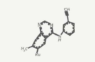 C#Cc1cccc(Nc2ncnc3cc(C)[c]([Ru])cc23)c1